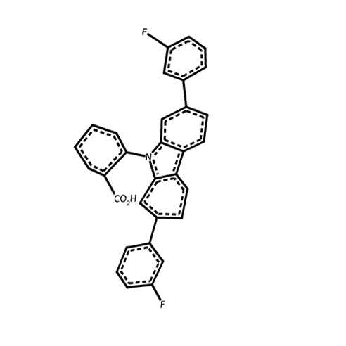 O=C(O)c1ccccc1-n1c2cc(-c3cccc(F)c3)ccc2c2ccc(-c3cccc(F)c3)cc21